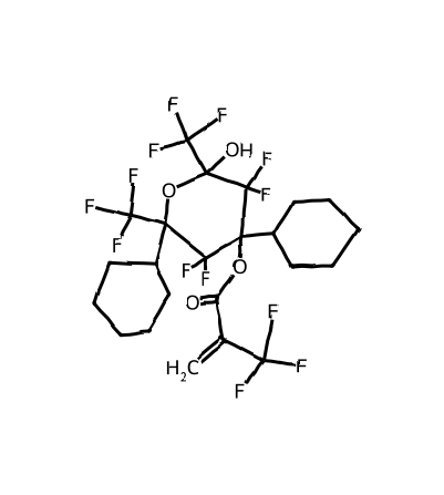 C=C(C(=O)OC1(C2CCCCC2)C(F)(F)C(O)(C(F)(F)F)OC(C2CCCCC2)(C(F)(F)F)C1(F)F)C(F)(F)F